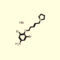 Br.Nc1cc(Br)c(OCCC=CCN2CCCC2)c(Br)c1